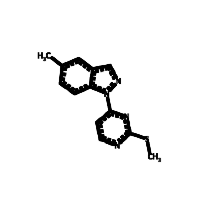 CSc1nccc(-n2ncc3cc(C)ccc32)n1